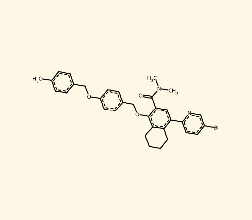 Cc1ccc(COc2ccc(COc3c(C(=O)N(C)C)cc(-c4ccc(Br)cn4)c4c3CCCC4)cc2)cc1